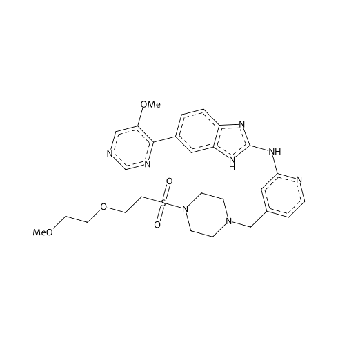 COCCOCCS(=O)(=O)N1CCN(Cc2ccnc(Nc3nc4ccc(-c5ncncc5OC)cc4[nH]3)c2)CC1